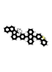 CC1(C)c2ccc3ccccc3c2-c2cccc(-c3ccc(-c4c5ccccc5c(-c5ccc6sc7ccccc7c6c5)c5ccccc45)cc3)c21